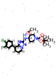 CO[C@H]1CN(C(=O)OC(C)(C)C)CC[C@H]1Nc1nc2c(-c3ccc(F)c(F)c3)cccn2n1